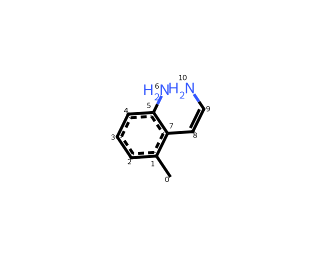 Cc1cccc(N)c1/C=C\N